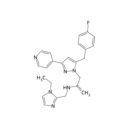 C=C(Cn1nc(-c2ccncc2)cc1Cc1ccc(F)cc1)NCc1nccn1CC